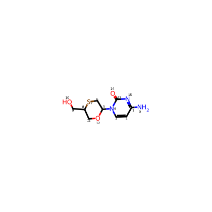 Nc1ccn(C2CSC(CO)CO2)c(=O)n1